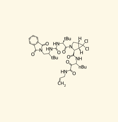 C=CCNC(=O)C(=O)C(CCCC)NC(=O)[C@@H]1[C@@H]2[C@H](CN1C(=O)[C@@H](NC(=O)NC(CN1C(=O)c3ccccc3C1=O)C(C)(C)C)C(C)(C)C)C2(Cl)Cl